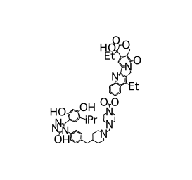 CCc1c2c(nc3ccc(OC(=O)N4CCN(CN5CCC(Cc6ccc(-n7c(O)nnc7-c7cc(C(C)C)c(O)cc7O)cc6)CC5)CC4)cc13)-c1cc3c(c(=O)n1C2)COC(=O)C3(O)CC